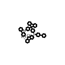 CC1(C)c2ccccc2-c2ccc(N(c3ccc(-c4ccccc4)cc3)c3ccc(C4(c5ccc(-n6c7ccccc7c7ccccc76)cc5)c5ccccc5-c5ccccc54)cc3)cc21